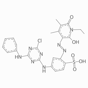 CCn1c(O)c(/N=N/c2cc(Nc3nc(Cl)nc(Nc4ccccc4)n3)ccc2S(=O)(=O)O)c(C)c(C)c1=O